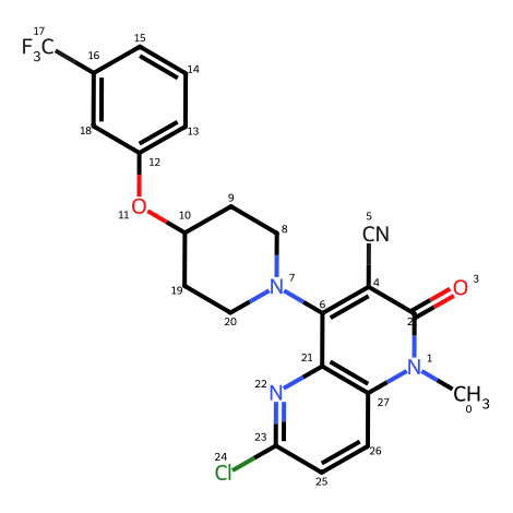 Cn1c(=O)c(C#N)c(N2CCC(Oc3cccc(C(F)(F)F)c3)CC2)c2nc(Cl)ccc21